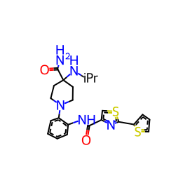 CC(C)NC1(C(N)=O)CCN(c2ccccc2NC(=O)c2csc(-c3cccs3)n2)CC1